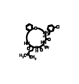 CC(C)[C@H]1NC(=O)[C@@H](Cc2cccc(Cl)c2)NCCOc2ccccc2CCCNC(=O)[C@H](CCN(C)C)NC1=O